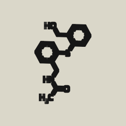 CC(=O)NCc1ccccc1Sc1ccccc1CO